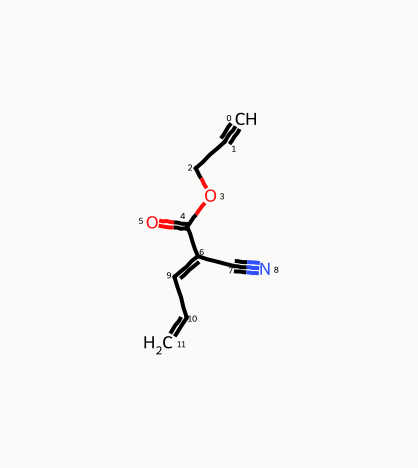 C#CCOC(=O)C(C#N)=CC=C